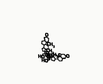 CC12CCC(=O)C=C1CCC1C2CCC2(C)C1CCC2(OBOC1(C(=O)CO)CCC2C3CCC4=CC(=O)CCC4(C)C3CCC21C)C(=O)CO